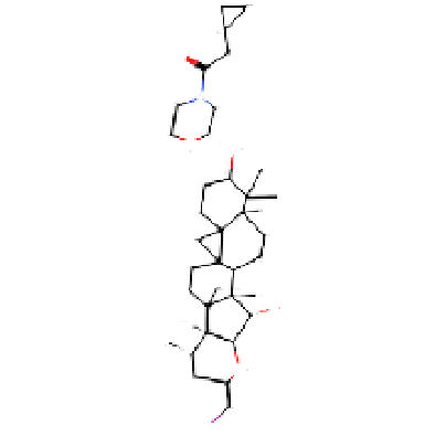 C[C@@H]1CC(CI)OC2[C@H]1C1(C)CCC34CC35CCC(O[C@H]3CN(C(=O)CC6CC6)CCO3)C(C)(C)[C@@H]5CCC4[C@]1(C)[C@H]2O